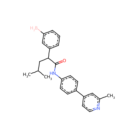 Bc1cccc(C(CC(C)C)C(=O)Nc2ccc(-c3ccnc(C)c3)cc2)c1